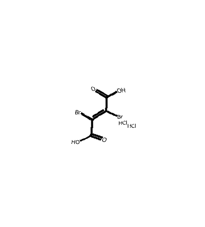 Cl.Cl.O=C(O)C(Br)=C(Br)C(=O)O